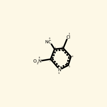 N#Cc1c(Cl)ccnc1[N+](=O)[O-]